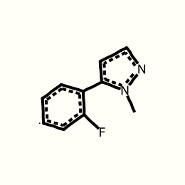 Cn1nccc1-c1cc[c]cc1F